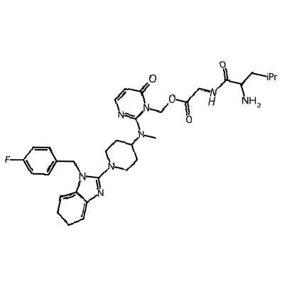 CC(C)CC(N)C(=O)NCC(=O)OCn1c(N(C)C2CCN(c3nc4c(n3Cc3ccc(F)cc3)=CCCC=4)CC2)nccc1=O